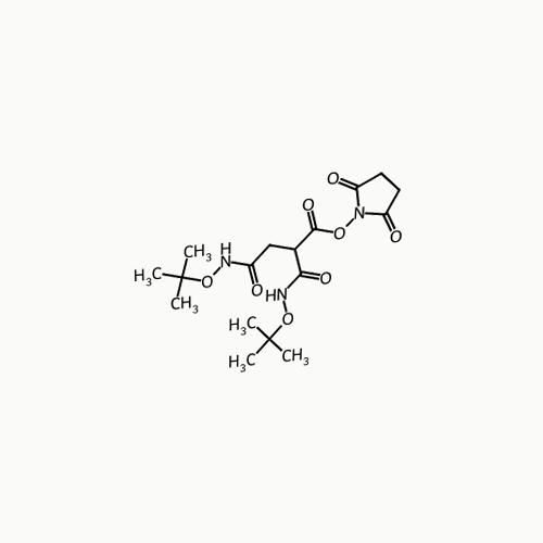 CC(C)(C)ONC(=O)CC(C(=O)NOC(C)(C)C)C(=O)ON1C(=O)CCC1=O